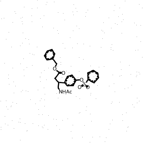 CC(=O)NCC(CC(=O)OCc1ccccc1)c1ccc(OS(=O)(=O)c2ccccc2)cc1